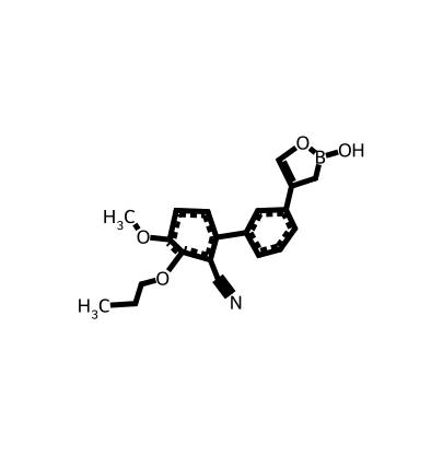 CCCOc1c(OC)ccc(-c2cccc(C3=COB(O)C3)c2)c1C#N